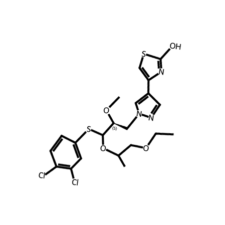 CCOCC(C)OC(Sc1ccc(Cl)c(Cl)c1)[C@H](Cn1cc(-c2csc(O)n2)cn1)OC